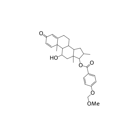 COCOc1ccc(C(=O)OC2C(C)CC3C4CCC5=CC(=O)C=CC5(C)C4C(O)CC32C)cc1